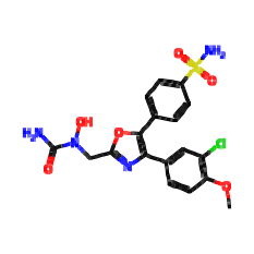 COc1ccc(-c2nc(CN(O)C(N)=O)oc2-c2ccc(S(N)(=O)=O)cc2)cc1Cl